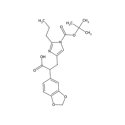 CCCc1nc(CC(C(=O)O)c2ccc3c(c2)OCO3)cn1C(=O)OC(C)(C)C